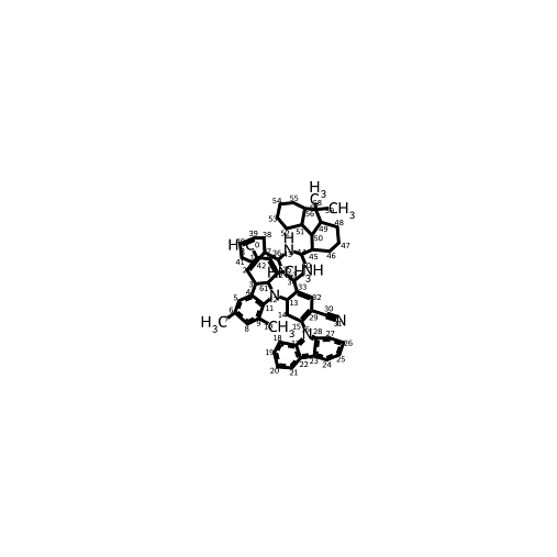 CC1=CC2c3cc(C)cc(C)c3N(C3CC(n4c5ccccc5c5ccccc54)=C(C#N)C=C3C3NC(C4CC=CCC4)NC(C4CCCC5C4C4CCCCC4C5(C)C)N3)C2C(C)=C1